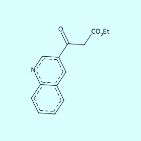 CCOC(=O)CC(=O)c1cnc2ccccc2c1